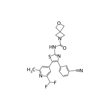 Cc1cc(-c2sc(NC(=O)N3CC4(COC4)C3)nc2-c2cccc(C#N)c2)cc(C(F)F)n1